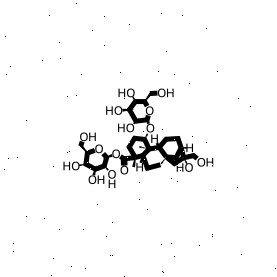 C[C@@]12[C@@H](O[C@@H]3O[C@H](CO)[C@@H](O)[C@H](O)[C@H]3O)CC[C@@](C)(C(=O)O[C@@H]3O[C@H](CO)[C@@H](O)[C@H](O)[C@H]3O)[C@H]1CC[C@@]13C[C@@H](CC[C@H]12)[C@@](O)(CO)C3